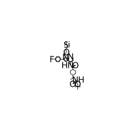 CC(NC(=O)OC(C)(C)C)C1CCC(C(=O)Nc2ccnc3c2cc(-c2ccc(F)cc2)n3COCC[Si](C)(C)C)CC1